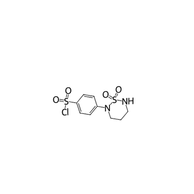 O=S(=O)(Cl)c1ccc(N2CCCNS2(=O)=O)cc1